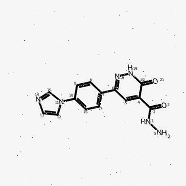 NNC(=O)c1cc(-c2ccc(-n3ccnc3)cc2)n[nH]c1=O